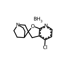 B.Clc1ccnc2c1CC1(CN3CCC1CC3)O2